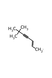 [CH2]C=CC#CC(C)(C)C